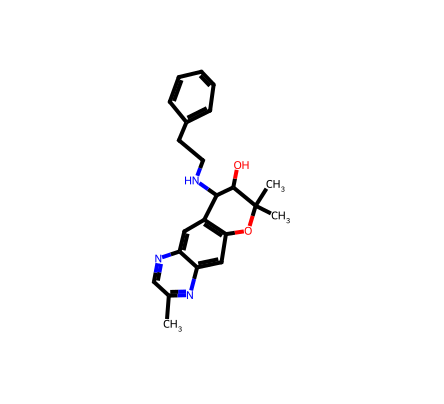 Cc1cnc2cc3c(cc2n1)OC(C)(C)C(O)C3NCCc1ccccc1